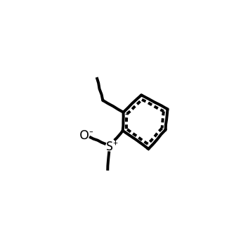 CCc1ccccc1[S+](C)[O-]